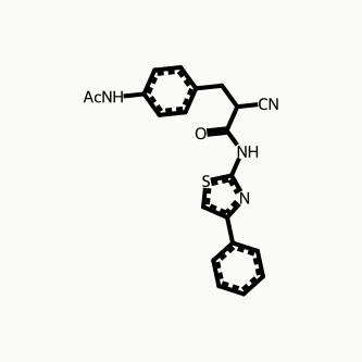 CC(=O)Nc1ccc(CC(C#N)C(=O)Nc2nc(-c3ccccc3)cs2)cc1